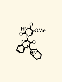 COc1cn(-c2nc3ccccc3n(C3CC4CCCC(C3)N4)c2=O)c(=O)[nH]c1=O